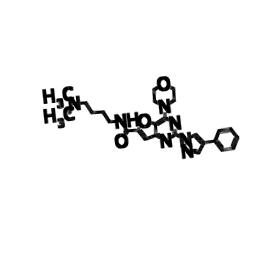 CN(C)CCCCNC(=O)c1cc2nc(-n3cc(-c4ccccc4)cn3)nc(N3CCOCC3)c2o1